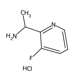 CC(N)c1ncccc1F.Cl